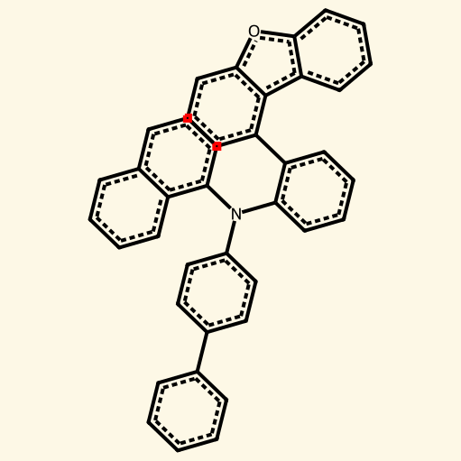 c1ccc(-c2ccc(N(c3ccccc3-c3cccc4oc5ccccc5c34)c3cccc4ccccc34)cc2)cc1